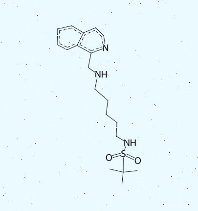 CC(C)(C)S(=O)(=O)NCCCCCNCc1nccc2ccccc12